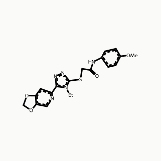 CCn1c(SCC(=O)Nc2ccc(OC)cc2)nnc1-c1cc2c(cn1)OCO2